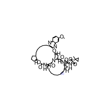 COc1ccc2nc3c(nc2c1)O[C@@H]1C[C@H]2C(=O)N[C@]4(C(=O)NS(=O)(=O)C5(C)CC5)C[C@H]4/C=C\CCCCC[C@H](NC(=O)O[C@@H]4CCCC4CCCCC3)C(=O)N2C1